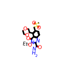 CCOn1c(C(N)=O)nc2ccc(CS(C)(=O)=O)c(C3COCCO3)c2c1=O